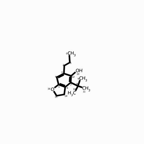 CCCc1cc2c(c(C(C)(C)C)c1O)CCO2